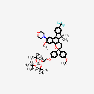 COc1ccc(C2(c3ccc(OCCO[Si](OC(C)(C)C)(OC(C)(C)C)OC(C)(C)C)cc3)C=Cc3c4c(c5cc(N6CCOCC6)c(OC)cc5c3O2)-c2ccc(C(F)(F)F)cc2C4(C)C)cc1